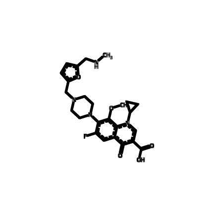 CNCc1ccc(CN2CCN(c3c(F)cc4c(=O)c(C(=O)O)cn(C5CC5)c4c3OC)CC2)o1